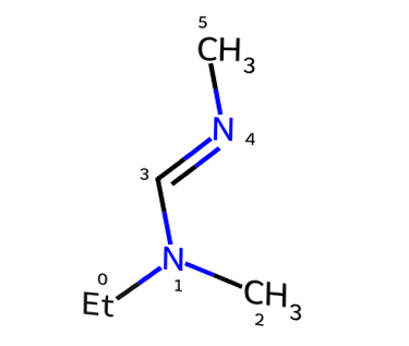 CCN(C)/C=N/C